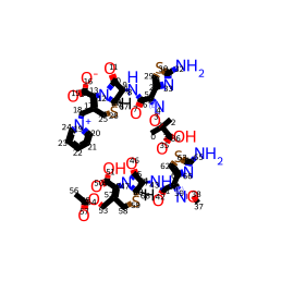 CC(C)(O/N=C(\C(=O)N[C@@H]1C(=O)N2C(C(=O)[O-])=C(C[n+]3ccccc3)CS[C@H]12)c1csc(N)n1)C(=O)O.CO/N=C(/C(=O)N[C@@H]1C(=O)N2C(C(=O)O)=C(COC(C)=O)CS[C@H]12)c1csc(N)n1